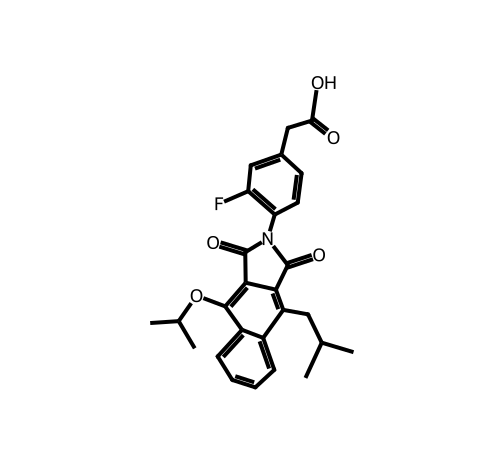 CC(C)Cc1c2c(c(OC(C)C)c3ccccc13)C(=O)N(c1ccc(CC(=O)O)cc1F)C2=O